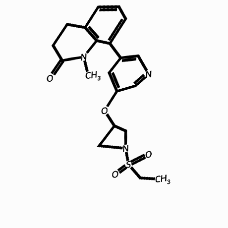 CCS(=O)(=O)N1CC(Oc2cncc(-c3cccc4c3N(C)C(=O)CC4)c2)C1